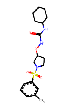 O=C(NOC1CCN(S(=O)(=O)c2cccc(C(F)(F)F)c2)C1)NC1CCCCC1